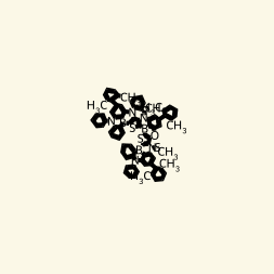 CSN1c2cc(-c3c(C)cccc3C)cc3c2B(c2ccccc2N3c2ccccc2)c2sc3c(c21)Oc1cc(-c2c(C)cccc2C)cc2c1B3c1sc3c(c1N2SC)N(c1ccccc1)c1cc(-c2c(C)cccc2C)cc2c1B3c1ccccc1N2c1ccccc1